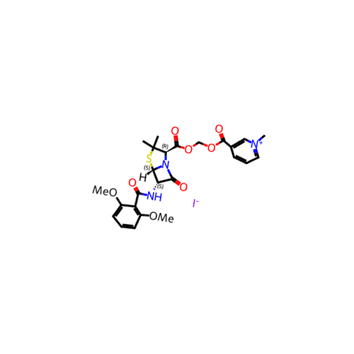 COc1cccc(OC)c1C(=O)N[C@H]1C(=O)N2[C@H]1SC(C)(C)[C@H]2C(=O)OCOC(=O)c1ccc[n+](C)c1.[I-]